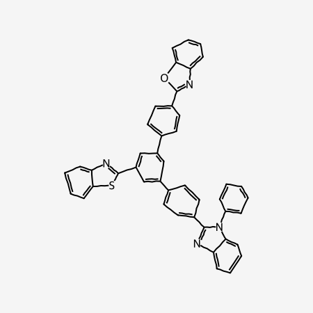 c1ccc(-n2c(-c3ccc(-c4cc(-c5ccc(-c6nc7ccccc7o6)cc5)cc(-c5nc6ccccc6s5)c4)cc3)nc3ccccc32)cc1